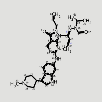 C=CCn1c(=O)c2cnc(Nc3ccc4c(C5CCN(C)CC5)c[nH]c4c3)nc2n1C(/C=C\C)=N/N(C=O)C(C)C